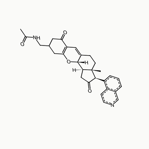 CC(=O)NCC1CC(=O)C2=C(C1)O[C@@H]1C(=C2)CC[C@]2(C)[C@@H](c3cccc4cnccc34)C(=O)C[C@@H]12